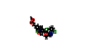 CCOC(=O)CCc1ccc(N2C(=O)[C@@H]3C[C@H]2C[C@H]3OCc2c(C3CC3)cnn2-c2c(Cl)cccc2Cl)c(F)c1